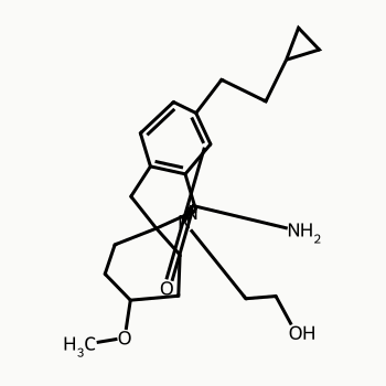 COC1CCC2(CC1)Cc1ccc(CCC3CC3)cc1C21N=C(N)N(CCO)C1=O